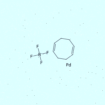 C1=CCCC=CCC1.F[B-](F)(F)F.[Pd]